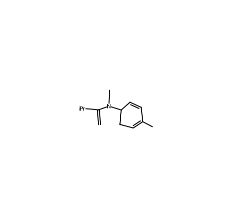 C=C(C(C)C)N(C)C1C=CC(C)=CC1